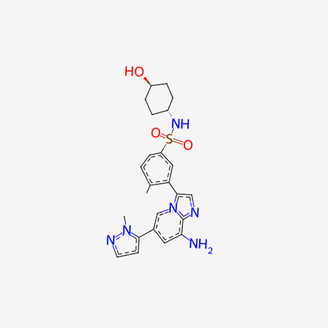 Cc1ccc(S(=O)(=O)N[C@H]2CC[C@H](O)CC2)cc1-c1cnc2c(N)cc(-c3ccnn3C)cn12